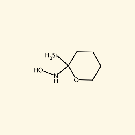 ONC1([SiH3])CCCCO1